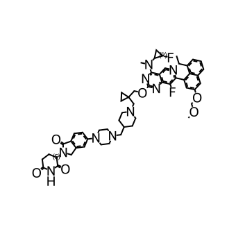 CCc1cccc2cc(OCOC)cc(-c3ncc4c(N(C)C5C[C@H]5F)nc(OCC5(CN6CCC(CN7CCN(c8ccc9c(c8)CN([C@H]8CCC(=O)NC8=O)C9=O)CC7)CC6)CC5)nc4c3F)c12